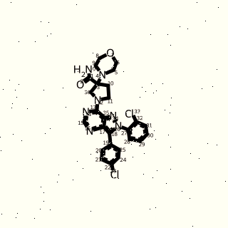 NC(=O)C1(N2CCOCC2)CCN(c2ncnc3c(-c4ccc(Cl)cc4)n(-c4ccccc4Cl)nc23)C1